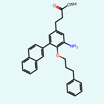 COC(=O)CCc1cc(N)c(OCCCc2ccccc2)c(-c2ccc3ccccc3c2)c1